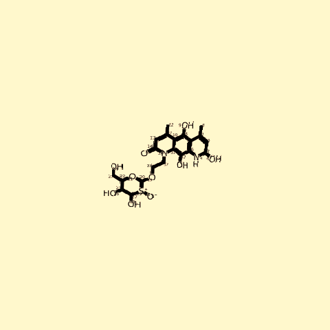 CC1=CC(O)Nc2c1c(O)c1c(C)cc(=O)n(CCOC3OC(CO)C(O)C(O)[S+]3[O-])c1c2O